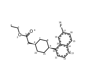 CCOC(=O)C[C@H]1CC[C@@H](c2ccnc3ccc(F)cc32)CC1